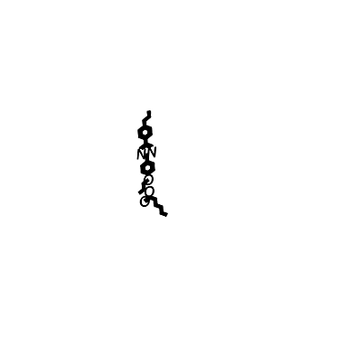 CCCCCC(=O)OC(C)COc1ccc(-c2ncc(-c3ccc(CCC)cc3)cn2)cc1